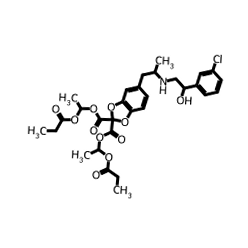 CCC(=O)OC(C)OC(=O)C1(C(=O)OC(C)OC(=O)CC)Oc2ccc(CC(C)NCC(O)c3cccc(Cl)c3)cc2O1